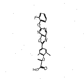 Cc1cc(-c2nc3cnc(Oc4ccccc4F)nc3o2)cc(C)c1OC(C)C(=O)O